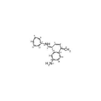 C=C(/C=C\C=C/Nc1ccccc1)c1ccc(N)cc1